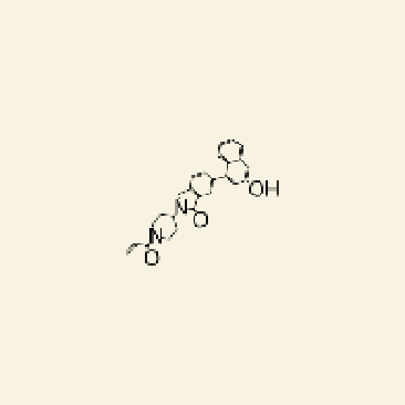 C=CC(=O)N1CCC(N2Cc3ccc(-c4cc(O)cc5ccccc45)cc3C2=O)CC1